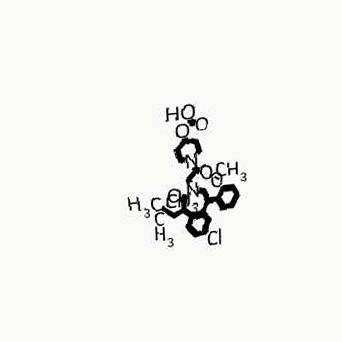 COc1ccccc1C1CN(CC(=O)N2CCC(OC(=O)O)CC2)C(=O)C(CC(C)(C)C)c2ccc(Cl)cc21